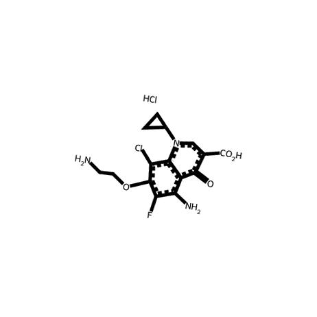 Cl.NCCOc1c(F)c(N)c2c(=O)c(C(=O)O)cn(C3CC3)c2c1Cl